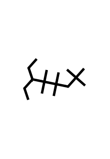 CC[C](CC)C(C)(C)C(C)(C)CC(C)(C)C